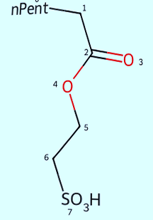 CCCCCCC(=O)OCCS(=O)(=O)O